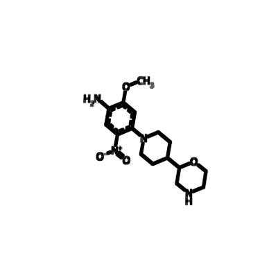 COc1cc(N2CCC(C3CNCCO3)CC2)c([N+](=O)[O-])cc1N